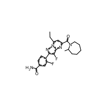 CCc1cc(C(=O)N2CCCCCC2C)nc2c(F)c(-c3ccc(C(N)=O)cc3F)nn12